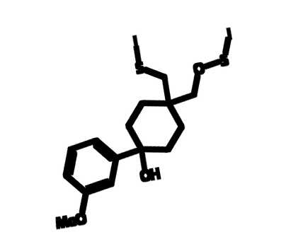 COc1cccc(C2(O)CCC(COSI)(CSI)CC2)c1